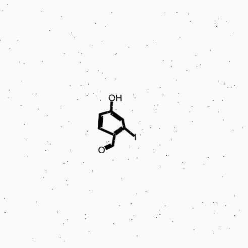 O=Cc1ccc(O)cc1I